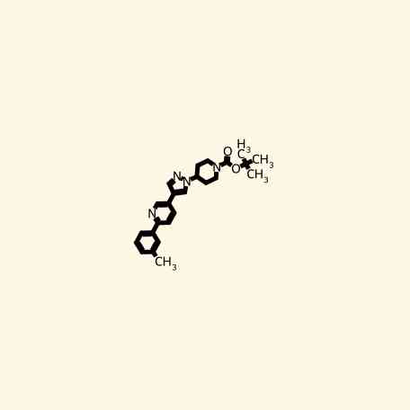 Cc1cccc(-c2ccc(-c3cnn(C4CCN(C(=O)OC(C)(C)C)CC4)c3)cn2)c1